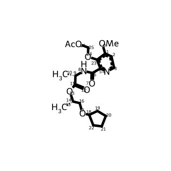 COc1ccnc(C(=O)N[C@@H](C)C(=O)O[C@@H](C)COC2CCCC2)c1OCOC(C)=O